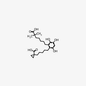 CC(C)(CCCCCc1c(O)c(O)cc(O)c1CCCCCC1(C(=O)O)CC1)C(=O)O